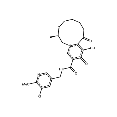 COc1ncc(CNC(=O)c2cn3c(c(O)c2=O)C(=O)CCCCO[C@H](C)C3)cc1Cl